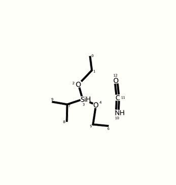 CCO[SiH](OCC)C(C)C.N=C=O